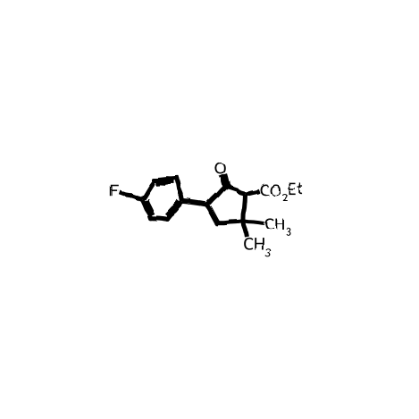 CCOC(=O)C1C(=O)C(c2ccc(F)cc2)CC1(C)C